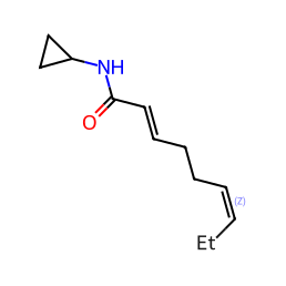 CC/C=C\CCC=CC(=O)NC1CC1